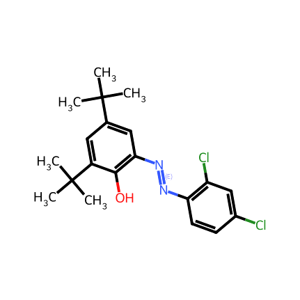 CC(C)(C)c1cc(/N=N/c2ccc(Cl)cc2Cl)c(O)c(C(C)(C)C)c1